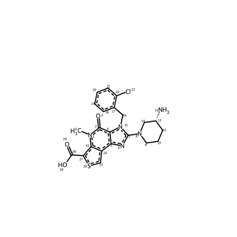 Cn1c(=O)c2c(nc(N3CCC[C@@H](N)C3)n2Cc2ccccc2Cl)c2csc(C(=O)O)c21